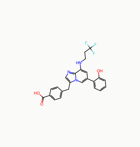 O=C(O)c1ccc(Cc2cnc3c(NCCC(F)(F)F)cc(-c4ccccc4O)cn23)cc1